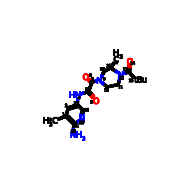 Cc1cc(NC(=O)C(=O)N2CCN(C(=O)C(C)(C)C)C(C)C2)cnc1N